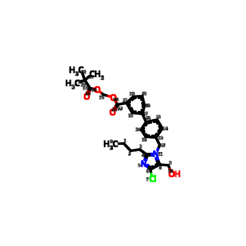 CCCCc1nc(Cl)c(CO)n1Cc1ccc(-c2cccc(C(=O)OCOC(=O)C(C)(C)C)c2)cc1